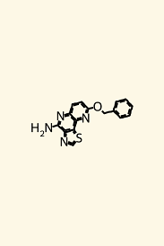 Nc1nc2ccc(OCc3ccccc3)nc2c2scnc12